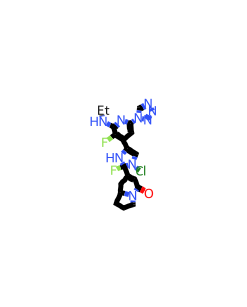 CCNc1nc(-n2cnnn2)cc(C2=CN(Cl)C(F)(C3=CC(=O)N4CCCC4C3)N2)c1F